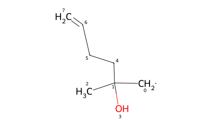 [CH2]C(C)(O)CCC=C